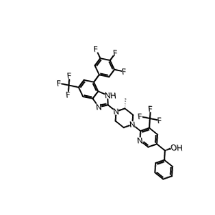 C[C@@H]1CN(c2ncc([C@@H](O)c3ccccc3)cc2C(F)(F)F)CCN1c1nc2cc(C(F)(F)F)cc(-c3cc(F)c(F)c(F)c3)c2[nH]1